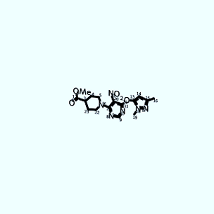 COC(=O)C1CCN(c2ncnc(Oc3cc(C)nn3C)c2[N+](=O)[O-])CC1